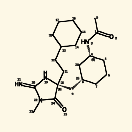 CC(=O)N[C@@H]1CCC[C@H](C[C@@]2(CCC3CCCCC3)NC(=N)N(C)C2=O)C1